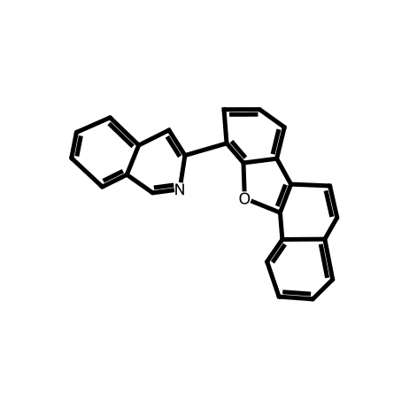 c1ccc2cc(-c3cccc4c3oc3c5ccccc5ccc43)ncc2c1